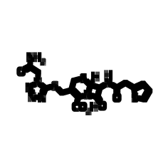 NC(=O)Cn1nnnc1SCC1=C(C(=O)O)N2C(=O)C(NC(=O)Cc3cccs3)[C@@H]2SC1